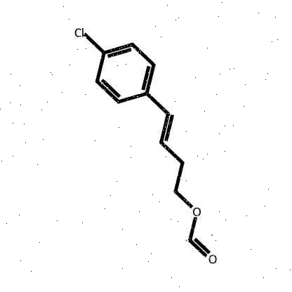 O=[C]OCCC=Cc1ccc(Cl)cc1